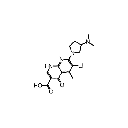 Cc1c(Cl)c(N2CCC(N(C)C)C2)nc2[nH]cc(C(=O)O)c(=O)c12